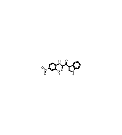 O=C(Nc1ccc([N+](=O)[O-])cc1O)C(=O)C1CNc2ccccc21